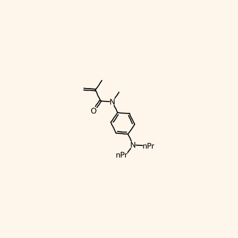 C=C(C)C(=O)N(C)c1ccc(N(CCC)CCC)cc1